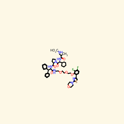 CC(CNC(=O)O)C(=O)N[C@H](C(=O)N1CCCC1C(=O)NC(C(=O)NCCOCCOCCOc1c(-c2csc(N3CCOCC3)n2)ccc(F)c1F)C(c1ccccc1)c1ccccc1)C1CCCCC1